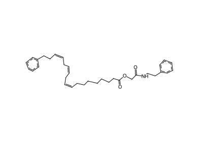 O=C(COC(=O)CCCCCCC/C=C\C/C=C\C/C=C\CCc1ccccc1)NCCc1ccccc1